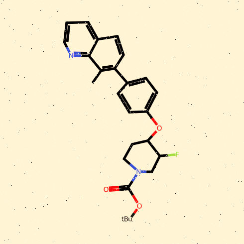 Cc1c(-c2ccc(OC3CCN(C(=O)OC(C)(C)C)CC3F)cc2)ccc2cccnc12